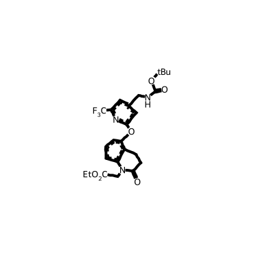 CCOC(=O)CN1C(=O)CCc2c(Oc3cc(CNC(=O)OC(C)(C)C)cc(C(F)(F)F)n3)cccc21